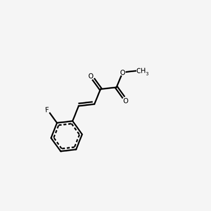 COC(=O)C(=O)/C=C/c1ccccc1F